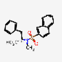 CN([C@@H](Cc1ccccc1)C(=O)O)S(=O)(=O)c1ccc2ccccc2c1